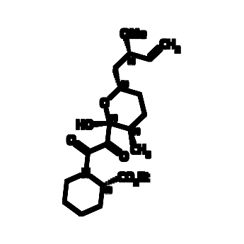 C=C[C@H](C[C@@H]1CC[C@@H](C)[C@](O)(C(=O)C(=O)N2CCCC[C@H]2C(=O)OCC)O1)OC